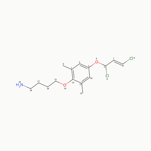 Cc1cc(OC(Cl)C=CCl)cc(C)c1OCCCCN